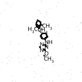 CCOc1ncnc(NC2=CCC(=C=C3CC4CCC3(C)C4(C)C)C=C2)n1